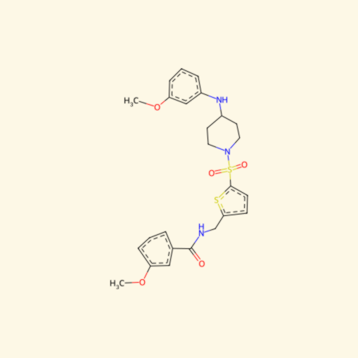 COc1cccc(NC2CCN(S(=O)(=O)c3ccc(CNC(=O)c4cccc(OC)c4)s3)CC2)c1